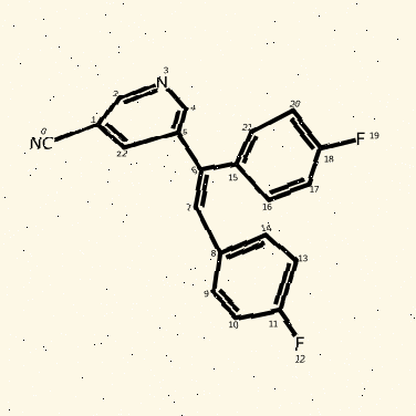 N#Cc1cncc(C(=Cc2ccc(F)cc2)c2ccc(F)cc2)c1